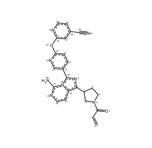 C=CC(=O)N1CCC(c2nc(-c3ccc(Oc4cc(C#N)ccn4)nc3)n3c(N)nccc23)C1